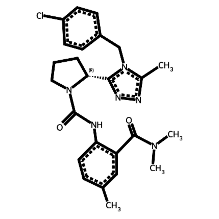 Cc1ccc(NC(=O)N2CCC[C@@H]2c2nnc(C)n2Cc2ccc(Cl)cc2)c(C(=O)N(C)C)c1